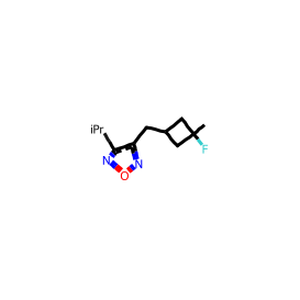 CC(C)c1nonc1CC1CC(C)(F)C1